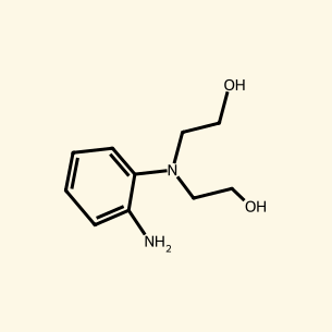 Nc1ccccc1N(CCO)CCO